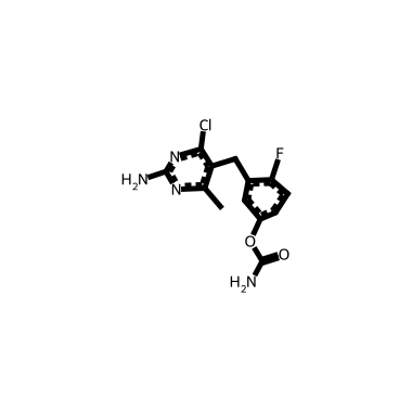 Cc1nc(N)nc(Cl)c1Cc1cc(OC(N)=O)ccc1F